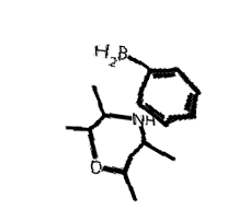 Bc1ccccc1.CC1NC(C)C(C)OC1C